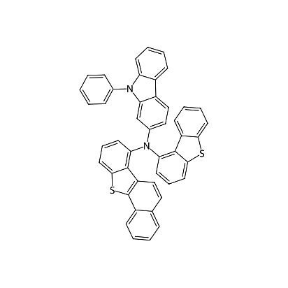 c1ccc(-n2c3ccccc3c3ccc(N(c4cccc5sc6ccccc6c45)c4cccc5sc6c7ccccc7ccc6c45)cc32)cc1